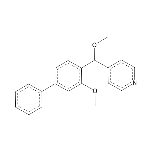 COc1cc(-c2ccccc2)ccc1C(OC)c1ccncc1